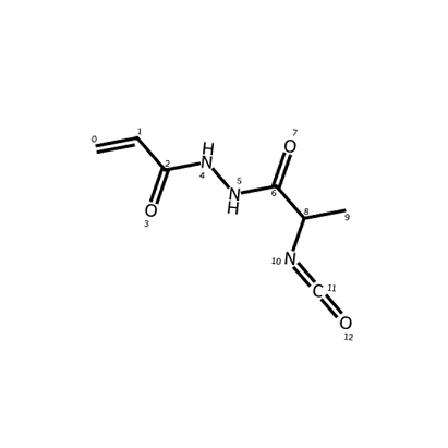 C=CC(=O)NNC(=O)C(C)N=C=O